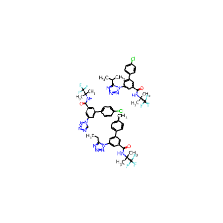 CC(C)(NC(=O)c1cc(-c2ccc(Cl)cc2)cc(-n2cnnn2)c1)C(F)(F)F.CC(C)c1nnnn1-c1cc(C(=O)NC(C)(C)C(F)(F)F)cc(-c2ccc(Cl)cc2)c1.CCc1nnnn1-c1cc(C(=O)NC(C)(C)C(F)(F)F)cc(-c2ccc(C)cc2)c1